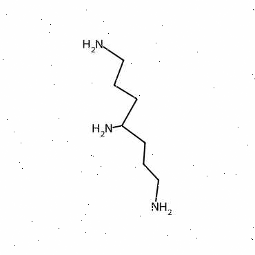 NCCCC(N)CCCN